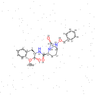 CC(C)(C)OC(=O)[C@@H](Cc1ccccc1)NC(=O)[C@@H]1CCC2CN1C(=O)N2OCc1ccccc1